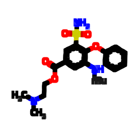 CCCCNc1cc(C(=O)OCCN(C)C)cc(S(N)(=O)=O)c1Oc1ccccc1